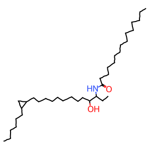 CCCCCCCCCCCCCCC(=O)NC(CC)C(O)CCCCCCCCCC1CC1CCCCCC